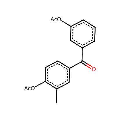 CC(=O)Oc1cccc(C(=O)c2ccc(OC(C)=O)c(C)c2)c1